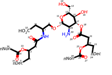 CCCCCCCCCCCC(CC(=O)NC(CO[C@@H]1O[C@H](CO)[C@@H](O)[C@H](OC(=O)CC(CCCCCCCCCCC)OC(=O)CCCCCCCCC)[C@H]1N)CC(=O)O)OC(=O)CCCCCCCCC